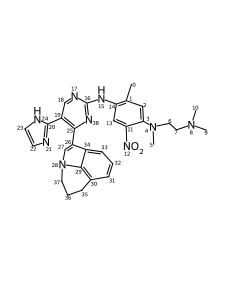 Cc1cc(N(C)CCN(C)C)c([N+](=O)[O-])cc1Nc1ncc(-c2ncc[nH]2)c(-c2cn3c4c(cccc24)CCC3)n1